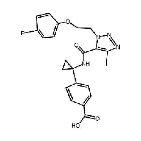 Cc1nnn(CCOc2ccc(F)cc2)c1C(=O)NC1(c2ccc(C(=O)O)cc2)CC1